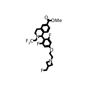 COC(=O)c1ccc2c(c1)CCN(CC(F)(F)F)C2c1c(F)cc(OCCN2CC(CF)C2)cc1F